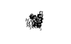 CC(C)(C)OC(=O)N[C@@H](CO)Cc1cc2nc(Cl)cc(N(Cc3ccco3)C(=O)OC(C)(C)C)c2s1